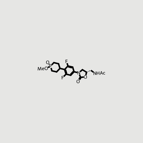 COP1(=O)CCC(c2c(F)cc(N3C[C@H](CNC(C)=O)OC3=O)cc2F)CC1